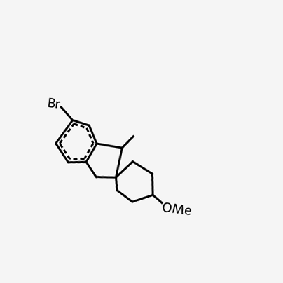 COC1CCC2(CC1)Cc1ccc(Br)cc1C2C